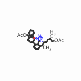 CC(=O)OCc1ccc(-c2cccc(C(C)/C=C/C[C@@H](C)COC(C)=O)c2-c2nnnn2Cc2ccccc2)cc1